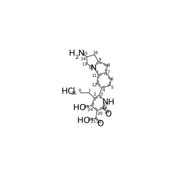 CCc1c(-c2ccc3cc4n(c3c2)CC(N)C4)[nH]c(=O)c(C(=O)O)c1O.Cl